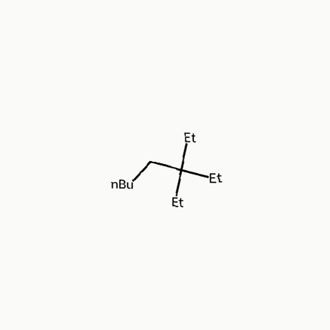 [CH2]CCCCC(CC)(CC)CC